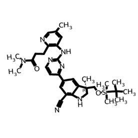 Cc1cnc(CCC(=O)N(C)C)c(Nc2nccc(-c3cc(C#N)c4c(c3)[C@@](C)(CO[Si](C)(C)C(C)(C)C)CN4)n2)c1